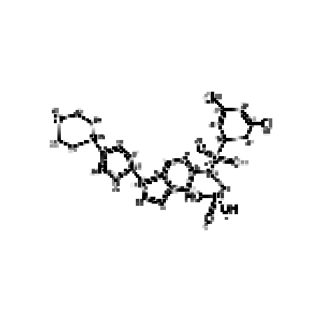 O=P(O)(O)CN(c1ccc2c(ccn2-c2ccc(N3CCOCC3)nn2)c1)S(=O)(=O)C1C=C(Cl)C=C(Cl)C1